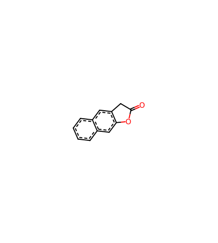 O=C1Cc2cc3ccccc3cc2O1